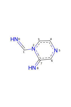 N=Cn1ccncc1=N